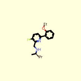 CCOc1ccccc1-c1ccc(F)c(CN[C@H](C)C(C)C)n1